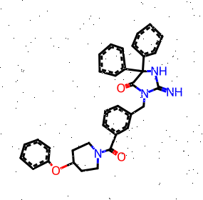 N=C1NC(c2ccccc2)(c2ccccc2)C(=O)N1Cc1cccc(C(=O)N2CCC(Oc3ccccc3)CC2)c1